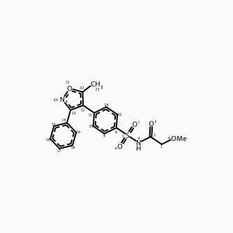 COCC(=O)NS(=O)(=O)c1ccc(-c2c(-c3ccccc3)noc2C)cc1